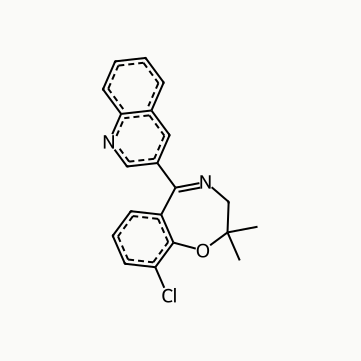 CC1(C)CN=C(c2cnc3ccccc3c2)c2cccc(Cl)c2O1